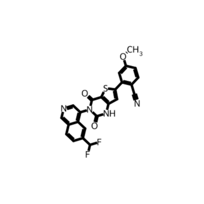 COc1ccc(C#N)c(-c2cc3[nH]c(=O)n(-c4cncc5ccc(C(F)F)cc45)c(=O)c3s2)c1